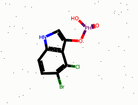 O=[PH](O)Oc1c[nH]c2ccc(Br)c(Cl)c12